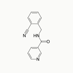 N#Cc1ccccc1CNC(=O)c1cccnc1